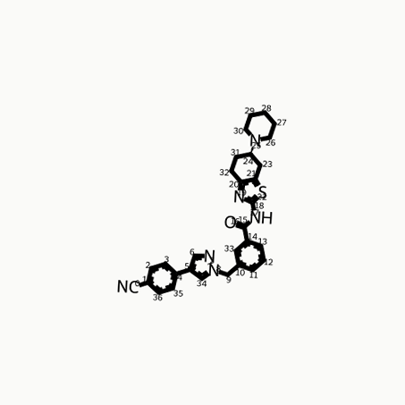 N#Cc1ccc(-c2cnn(Cc3cccc(C(=O)Nc4nc5c(s4)C[C@@H](N4CCCCC4)CC5)c3)c2)cc1